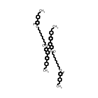 CCCC1CCC(c2ccc(-c3ccc4c(-c5c(OC(=O)CCCCCCCCCCCOc6ccc(C7CCC(CCC)CC7)cc6F)ccc6cc(-c7ccc(C8CCC(CCC)CC8)cc7)ccc56)c(OC(=O)CCCCCCCCCCCOc5ccc(C6CCC(CCC)CC6)cc5F)ccc4c3)cc2)CC1